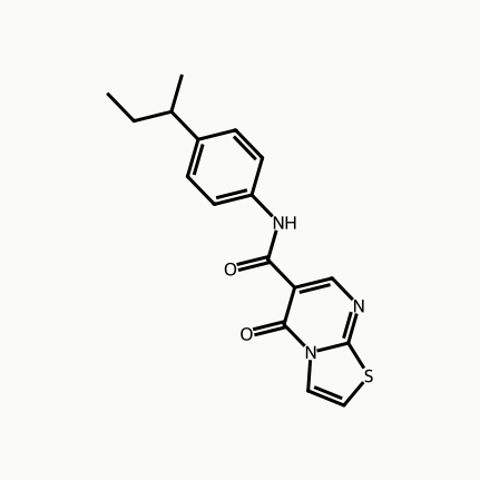 CCC(C)c1ccc(NC(=O)c2cnc3sccn3c2=O)cc1